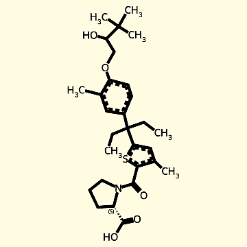 CCC(CC)(c1ccc(OCC(O)C(C)(C)C)c(C)c1)c1cc(C)c(C(=O)N2CCC[C@H]2C(=O)O)s1